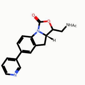 CC(=O)NCC1OC(=O)N2c3ccc(-c4cccnc4)cc3C[C@@H]12